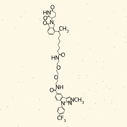 C=C(CCCCCCC(=O)NCCOCCOCCNC(=O)c1ccc2c(c1)c1cn(C)nc1n2-c1ccc(C(F)(F)F)cc1)c1cccc2c1CN(C1CCC(=O)NC1=O)C2=O